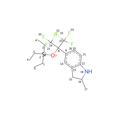 CC[Si](CC)(CC)OC(c1ccc2c(c1)CC(C)N2)(C(F)(F)F)C(F)(F)F